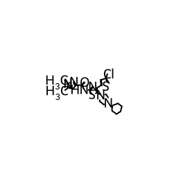 Cc1cc(C(=O)Nc2nc(-c3cc(Cl)cs3)c(N3CCN(C4CCCCC4)CC3)s2)nn1C